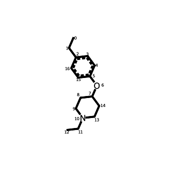 CCc1ccc(OC2CCN(CC)CC2)cc1